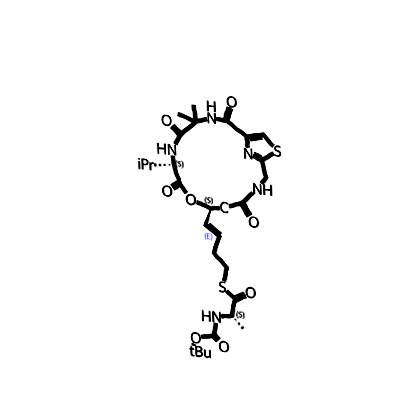 CC(C)[C@@H]1NC(=O)C(C)(C)NC(=O)c2csc(n2)CNC(=O)C[C@@H](/C=C/CCSC(=O)[C@H](C)NC(=O)OC(C)(C)C)OC1=O